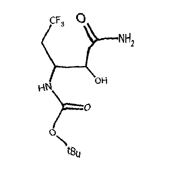 CC(C)(C)OC(=O)NC(CC(F)(F)F)C(O)C(N)=O